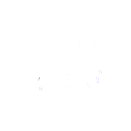 CCS(=O)(=O)c1ccc(-c2n[nH]c3ncc(-c4ccc5c(c4)CCC(C)(N4CCC[C@H]4C)CC5)cc23)cc1